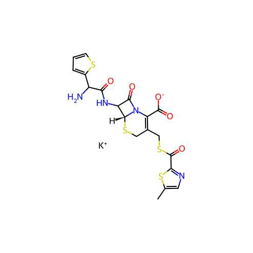 Cc1cnc(C(=O)SCC2=C(C(=O)[O-])N3C(=O)C(NC(=O)C(N)c4cccs4)[C@H]3SC2)s1.[K+]